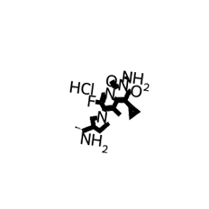 Cc1c(N2CCC([C@@H](C)N)C2)c(F)cn2c(=O)n(N)c(=O)c(C3CC3)c12.Cl